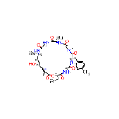 CCC(C)[C@@H]1NC(=O)CN(C)C(=O)[C@@H](Cc2ccc(C(F)(F)F)cc2)N(C)C(=O)[C@H](C)NC(=O)[C@@H](CC(C)C)OC(=O)/C(C)=C/C[C@H](O)[C@H](C)[C@@H]([C@@H](C)CC)NC(=O)[C@@H](C)NC1=O